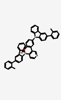 Cc1ccccc1-c1ccc2c(c1)c1ccccc1n2-c1ccc(C#N)c(-c2cnccc2-n2c3ccccc3c3cc(-c4ccccc4C)ccc32)c1